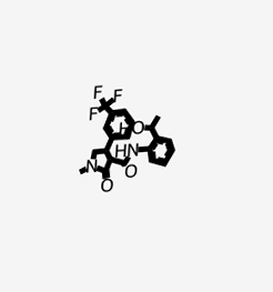 CC(O)c1ccccc1NC(=O)C1C(=O)N(C)CC1c1cccc(C(F)(F)F)c1